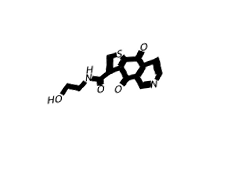 O=C(NCCO)c1csc2c1C(=O)c1cnccc1C2=O